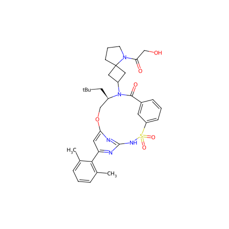 Cc1cccc(C)c1-c1cc2nc(n1)NS(=O)(=O)c1cccc(c1)C(=O)N(C1CC3(CCCN3C(=O)CO)C1)[C@H](CC(C)(C)C)CO2